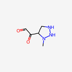 CN1NNCC1C(=O)C=O